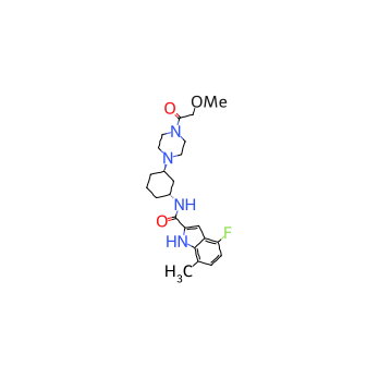 COCC(=O)N1CCN([C@@H]2CCC[C@@H](NC(=O)c3cc4c(F)ccc(C)c4[nH]3)C2)CC1